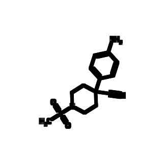 CS(=O)(=O)N1CCC(C#N)(c2ccc(N)cc2)CC1